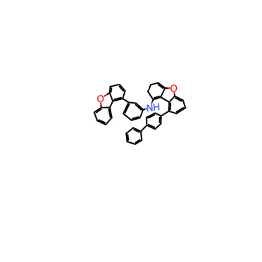 C1=c2oc3cccc(-c4ccc(-c5ccccc5)cc4)c3c2=C(Nc2cccc(-c3cccc4oc5ccccc5c34)c2)CC1